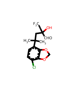 CC(C)(CC(O)(C=O)C(F)(F)F)c1ccc(Cl)c2c1OCO2